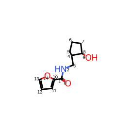 O=C(NCC1CCCC1O)c1ccco1